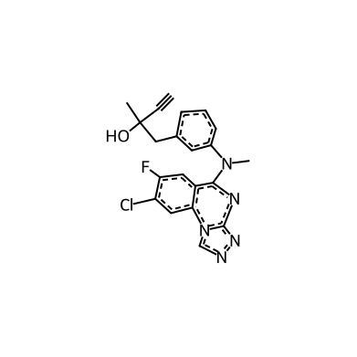 C#CC(C)(O)Cc1cccc(N(C)c2nc3nncn3c3cc(Cl)c(F)cc23)c1